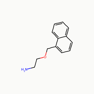 NCCOCc1cccc2ccccc12